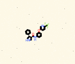 O=C(Nc1cccc(Oc2ccc(C(F)(F)F)nc2)c1)[C@H]1CNC[C@@H]1c1ccccc1